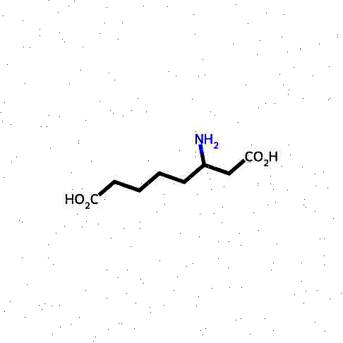 NC(CCCCC(=O)O)CC(=O)O